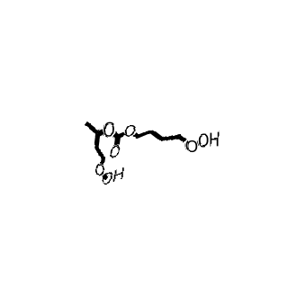 CC(CCOO)OC(=O)OCCCCOO